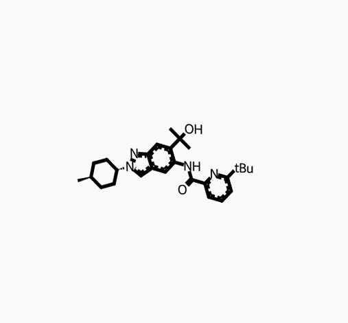 CC(C)(C)c1cccc(C(=O)Nc2cc3cn([C@H]4CC[C@H](C)CC4)nc3cc2C(C)(C)O)n1